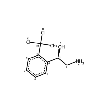 NC[C@H](O)c1ccccc1C(Cl)(Cl)Cl